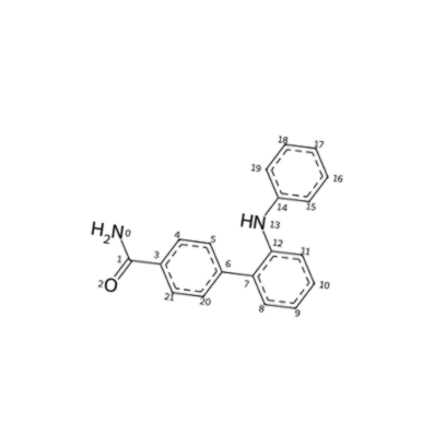 NC(=O)c1ccc(-c2ccccc2Nc2ccccc2)cc1